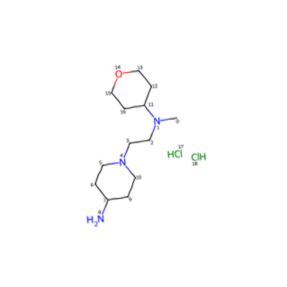 CN(CCN1CCC(N)CC1)C1CCOCC1.Cl.Cl